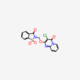 O=C1c2ccccc2S(=O)(=O)N1COc1nc2ccccn2c(=O)c1Cl